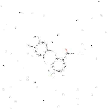 COC(=O)c1ccc(Cl)cc1Nc1cc(Br)c(C)cc1[N+](=O)[O-]